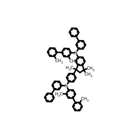 Cc1ccccc1-c1ccc(N(c2ccc(C3(C)CC(C)(C)c4ccc(N(c5cccc(-c6ccccc6)c5)c5ccc(-c6ccccc6C)cc5C)cc43)cc2)c2cccc(-c3ccccc3)c2)c(C)c1